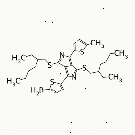 Bc1ccc(C2=C3C(SCC(CC)CCCC)=NC(c4ccc(C)s4)=C3C(SCC(CC)CCCC)=N2)s1